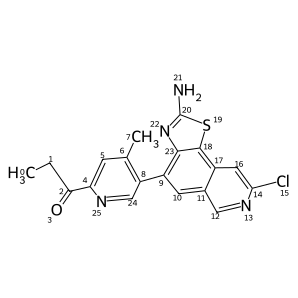 CCC(=O)c1cc(C)c(-c2cc3cnc(Cl)cc3c3sc(N)nc23)cn1